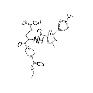 CCOC(=O)N1CCN(C(=O)C(CCC(=O)O)NC(=O)c2cc(C)nc(-c3ccc(OC)cc3)n2)CC1